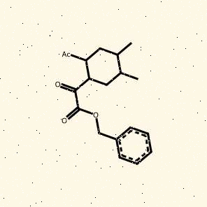 CC(=O)C1CC(C)C(C)CC1C(=O)C(=O)OCc1ccccc1